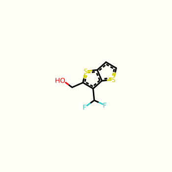 OCc1sc2ccsc2c1C(F)F